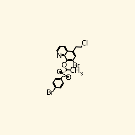 CC(Oc1c(Br)cc(CCCl)c2cccnc12)S(=O)(=O)c1ccc(Br)cc1